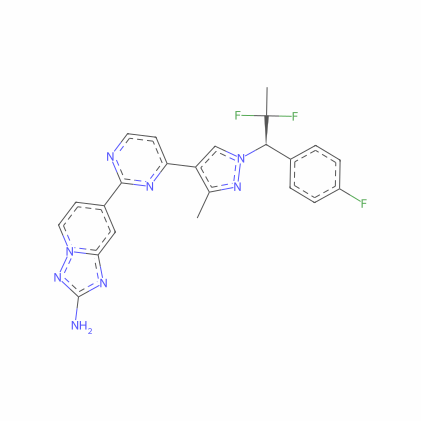 Cc1nn([C@H](c2ccc(F)cc2)C(C)(F)F)cc1-c1ccnc(-c2ccn3nc(N)nc3c2)n1